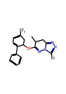 CCc1nnc2n1N=C(OC1CC(C(F)(F)F)=CC=C1c1ccccc1)C(C)C2